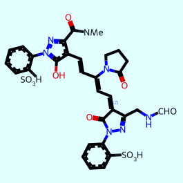 CNC(=O)c1nn(-c2ccccc2S(=O)(=O)O)c(O)c1C=CC(=C/C=C1\C(=O)N(c2ccccc2S(=O)(=O)O)N=C1CNC=O)N1CCCC1=O